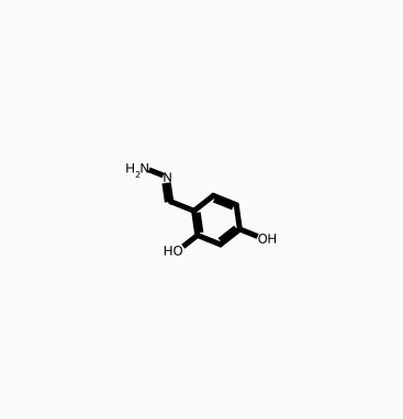 NN=Cc1ccc(O)cc1O